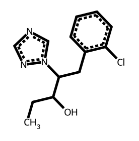 CCC(O)C(Cc1ccccc1Cl)n1cncn1